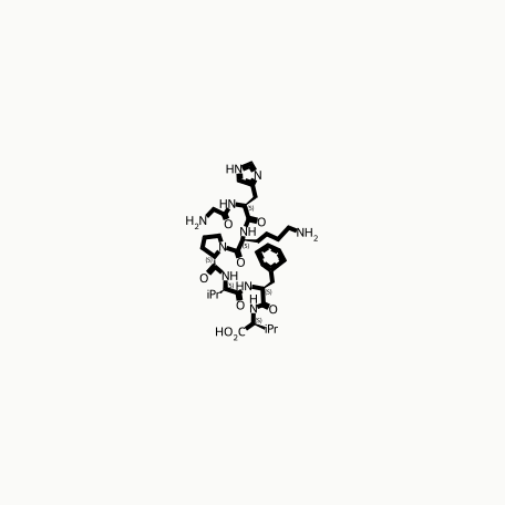 CC(C)[C@H](NC(=O)[C@H](Cc1ccccc1)NC(=O)[C@@H](NC(=O)[C@@H]1CCCN1C(=O)[C@H](CCCCN)NC(=O)[C@H](Cc1c[nH]cn1)NC(=O)CN)C(C)C)C(=O)O